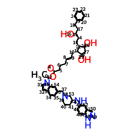 CC(OC(=O)CCCC=CC[C@@H]1[C@@H](CC[C@@H](O)CCc2ccccc2)[C@H](O)C[C@H]1O)n1ccc2ccc(CN3CCC[C@@H](Nc4ccc5[nH]ncc5c4)C3)cc21